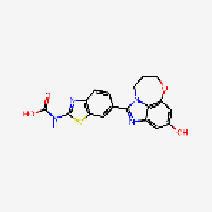 O=C(O)Nc1nc2ccc(-c3nc4cc(O)cc5c4n3CCCO5)cc2s1